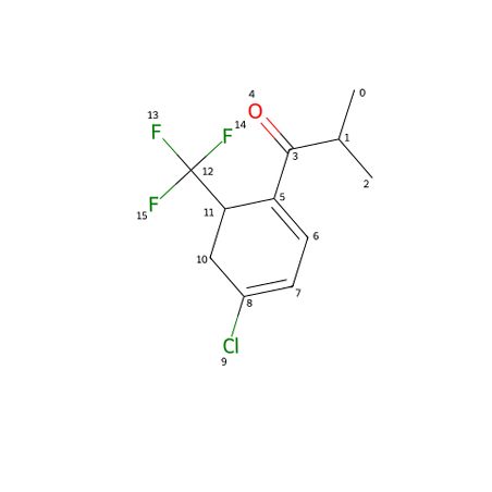 CC(C)C(=O)C1=CC=C(Cl)CC1C(F)(F)F